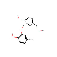 [CH2]OCc1ccc(OC)cc1.[CH2]c1ccc(OC)c(OC)c1